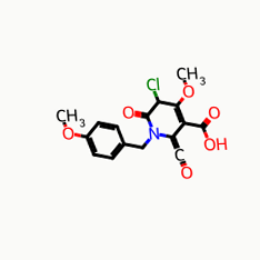 COC1=C(C(=O)O)C(=C=O)N(Cc2ccc(OC)cc2)C(=O)C1Cl